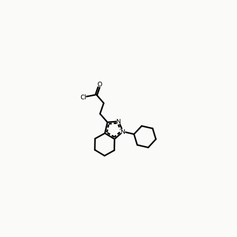 O=C(Cl)CCc1nn(C2CCCCC2)c2c1CCCC2